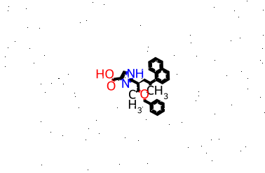 CC(C[C@H](c1nc(C(=O)O)c[nH]1)[C@H](C)OCc1ccccc1)c1cccc2ccccc12